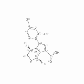 O=C(O)c1nn(-c2ccc(Cl)cc2F)c2c1[C@@H]1CC[C@H]2C1